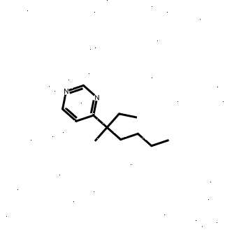 CCCCC(C)(CC)c1ccncn1